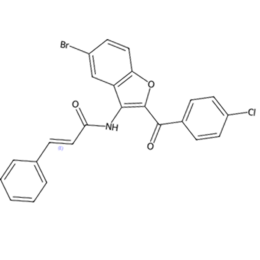 O=C(/C=C/c1ccccc1)Nc1c(C(=O)c2ccc(Cl)cc2)oc2ccc(Br)cc12